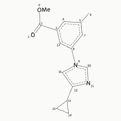 COC(=O)c1cc(C)cc(-n2cnc(C3CC3)c2)c1